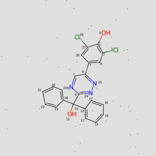 Oc1c(Cl)cc(-c2cnc(C(O)(c3ccccc3)c3ccccc3)nn2)cc1Cl